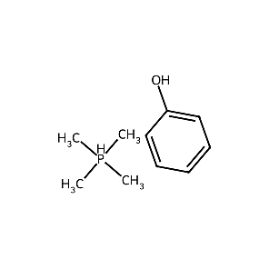 C[PH](C)(C)C.Oc1ccccc1